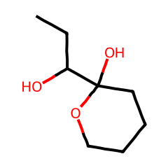 CCC(O)C1(O)CCCCO1